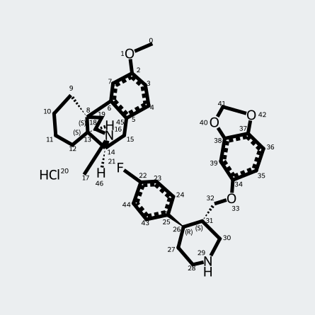 COc1ccc2c(c1)[C@]13CCCC[C@@H]1[C@H](C2)N(C)CC3.Cl.Fc1ccc([C@@H]2CCNC[C@H]2COc2ccc3c(c2)OCO3)cc1